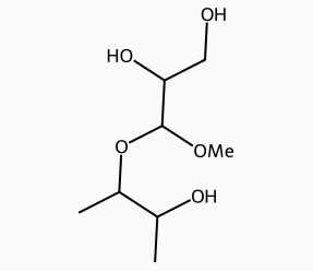 COC(OC(C)C(C)O)C(O)CO